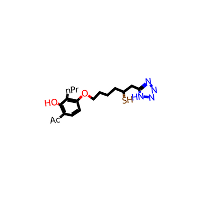 CCCc1c(OCCCCC(S)Cc2nnn[nH]2)ccc(C(C)=O)c1O